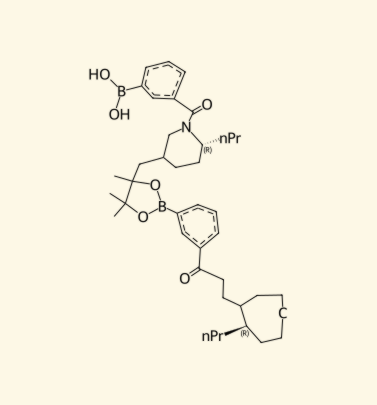 CCC[C@@H]1CCCCCC1CCC(=O)c1cccc(B2OC(C)(C)C(C)(CC3CC[C@@H](CCC)N(C(=O)c4cccc(B(O)O)c4)C3)O2)c1